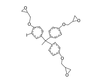 CC(c1ccc(OCC2CO2)cc1)(c1ccc(OCC2CO2)cc1)c1ccc(OCC2CO2)c(I)c1